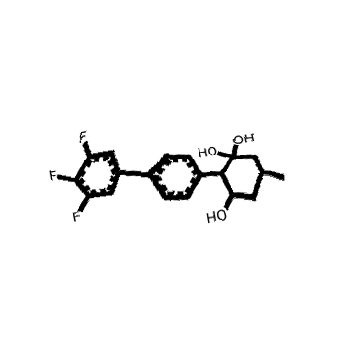 CC1CC(O)C(c2ccc(-c3cc(F)c(F)c(F)c3)cc2)C(O)(O)C1